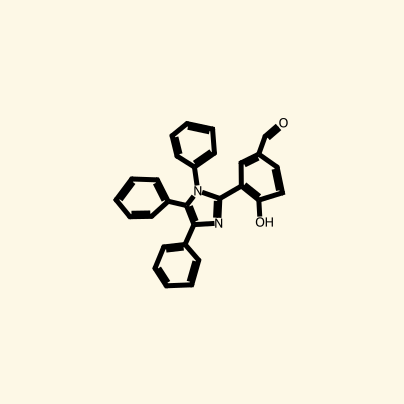 O=Cc1ccc(O)c(-c2nc(-c3ccccc3)c(-c3ccccc3)n2-c2ccccc2)c1